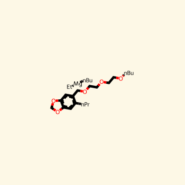 CCCCOCCOCCOCc1cc2c(cc1CCC)OCO2.CCC[CH2][Mg][CH2]C